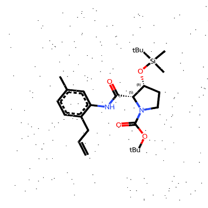 C=CCc1ccc(C)cc1NC(=O)[C@@H]1[C@H](O[Si](C)(C)C(C)(C)C)CCN1C(=O)OC(C)(C)C